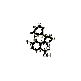 O=C(O)c1ccc(F)c(F)c1-c1sccc1-c1ccccc1